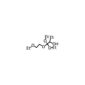 CCOCCOC(OCC)(OCC)[C](O)CC